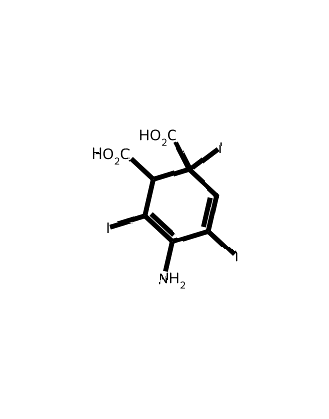 NC1=C(I)C(C(=O)O)C(I)(C(=O)O)C=C1I